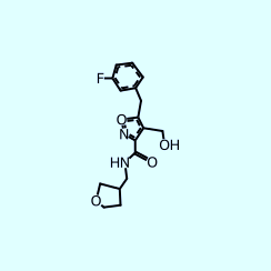 O=C(NCC1CCOC1)c1noc(Cc2cccc(F)c2)c1CO